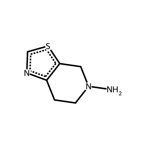 NN1CCc2ncsc2C1